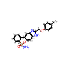 CC(C)c1ccc(OCc2nc3cc(-c4ccccc4S(N)(=O)=O)ccc3[nH]2)cc1